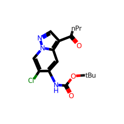 CCCC(=O)c1cnn2cc(Cl)c(NC(=O)OC(C)(C)C)cc12